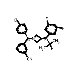 CC(C)(F)[C@H](c1cc(F)cc(F)c1)C1CN([C@H](c2ccc(Cl)cc2)c2cccc(C#N)c2)C1